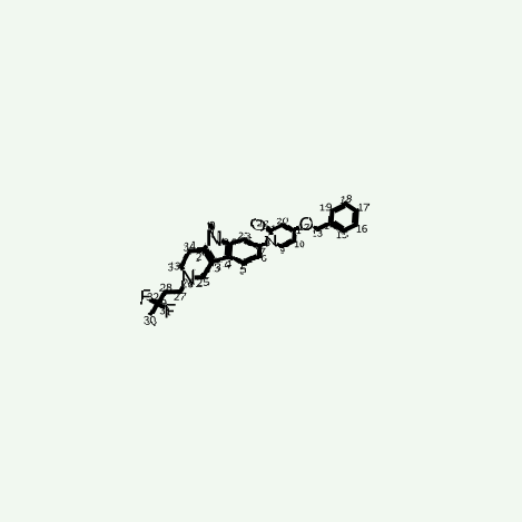 Cn1c2c(c3ccc(-n4ccc(OCc5ccccc5)cc4=O)cc31)CN(CCC(C)(F)F)CC2